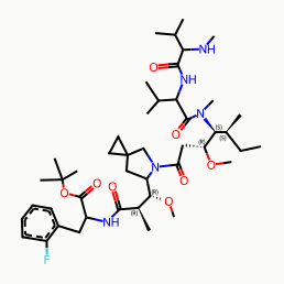 CC[C@H](C)[C@@H]([C@@H](CC(=O)N1CC2(CC2)CC1[C@H](OC)[C@@H](C)C(=O)NC(Cc1ccccc1F)C(=O)OC(C)(C)C)OC)N(C)C(=O)C(NC(=O)C(NC)C(C)C)C(C)C